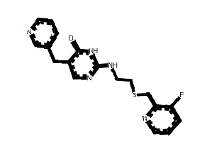 O=c1[nH]c(NCCSCc2ncccc2F)ncc1Cc1cccnc1